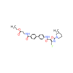 CCOC(=O)CCNC(=O)c1ccc(-c2ccc(NC(=O)c3oc(N4CCCC(C)C4)nc3CF)cc2)cc1